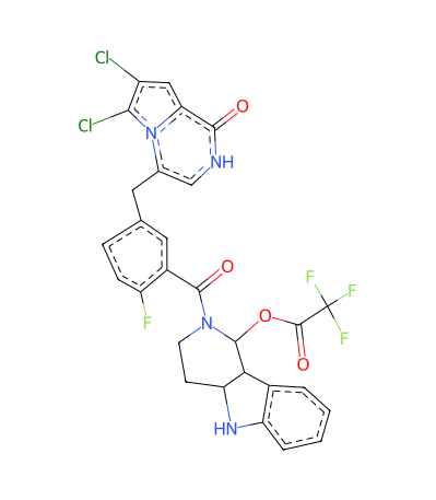 O=C(c1cc(Cc2c[nH]c(=O)c3cc(Cl)c(Cl)n23)ccc1F)N1CCC2Nc3ccccc3C2C1OC(=O)C(F)(F)F